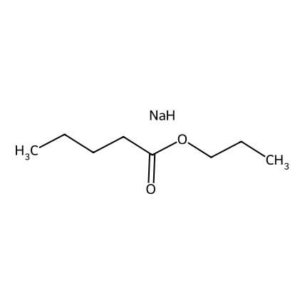 CCCCC(=O)OCCC.[NaH]